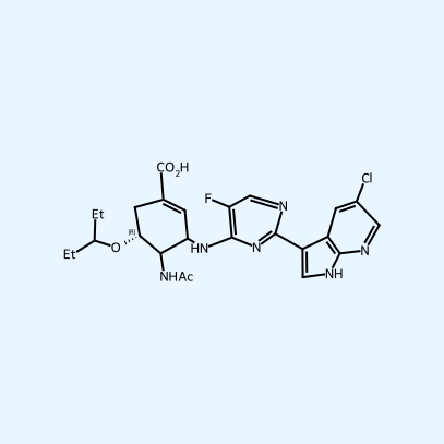 CCC(CC)O[C@@H]1CC(C(=O)O)=CC(Nc2nc(-c3c[nH]c4ncc(Cl)cc34)ncc2F)C1NC(C)=O